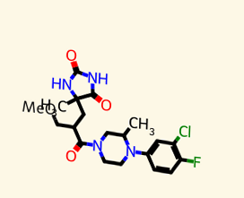 COCC(CC1(C)NC(=O)NC1=O)C(=O)N1CCN(c2ccc(F)c(Cl)c2)C(C)C1